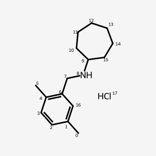 Cc1ccc(C)c(CNC2CCCCCC2)c1.Cl